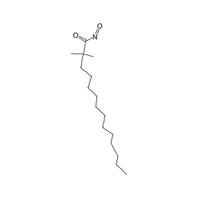 CCCCCCCCCCCCC(C)(C)C(=O)N=O